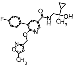 Cc1cc(COc2ncc(C(=O)NC[C@](C)(O)C3CC3)cc2-c2ccc(F)cc2)no1